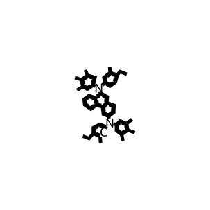 CCc1ccc(N(c2cc(C)c(C)c(C)c2)c2ccc3cc(N(c4ccc(CC)c(C)c4)c4cc(C)c(C)c(C)c4)c4ccccc4c3c2)cc1C